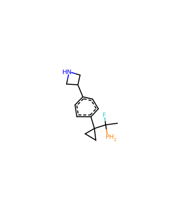 CC(F)(P)C1(c2ccc(C3CNC3)cc2)CC1